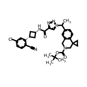 CC(c1ccc2c(c1)CN(C(=O)OC(C)(C)C)CC21CC1)n1cc(C(=O)N[C@H]2C[C@@H](c3cc(Cl)ccc3C#N)C2)nn1